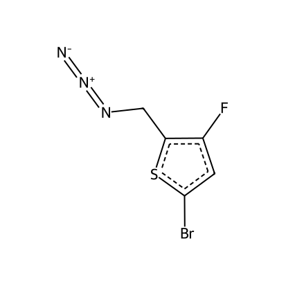 [N-]=[N+]=NCc1sc(Br)cc1F